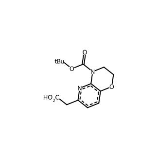 CC(C)(C)OC(=O)N1CCOc2ccc(CC(=O)O)nc21